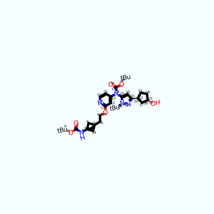 CC(C)(C)OC(=O)NC12CC(CCOc3cc(N(C(=O)OC(C)(C)C)c4cc([C@H]5CC[C@@H](O)C5)nn4C(C)(C)C)ccn3)(C1)C2